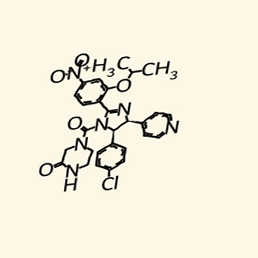 CC(C)Oc1cc([N+](=O)[O-])ccc1C1=N[C@@H](c2ccncc2)[C@@H](c2ccc(Cl)cc2)N1C(=O)N1CCNC(=O)C1